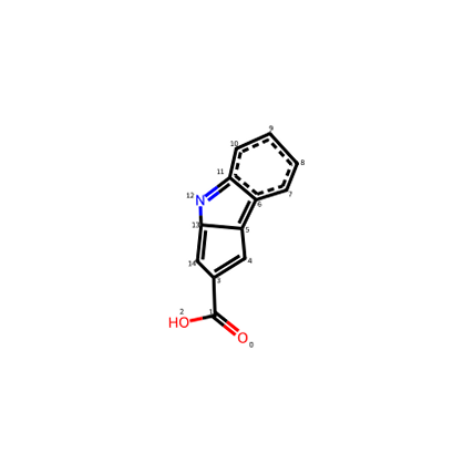 O=C(O)C1=CC2=c3ccccc3=NC2=C1